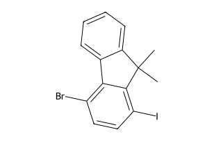 CC1(C)c2ccccc2-c2c(Br)ccc(I)c21